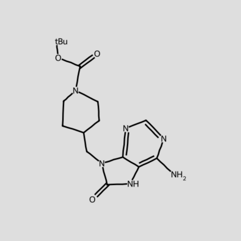 CC(C)(C)OC(=O)N1CCC(Cn2c(=O)[nH]c3c(N)ncnc32)CC1